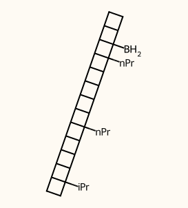 BC12C3CCC3C1C1C3C4C5C(C4C3C12CCC)C1C5C2C3C4C5C6CCC6(C(C)C)C5C4C3C12CCC